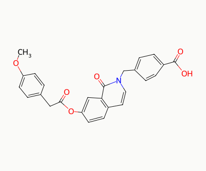 COc1ccc(CC(=O)Oc2ccc3ccn(Cc4ccc(C(=O)O)cc4)c(=O)c3c2)cc1